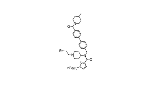 CCCCCc1ccc(C(=O)N(Cc2ccc(-c3ccc(C(=O)N4CCC(C)CC4)cc3)cc2)C2CCN(CCC(C)C)CC2)s1